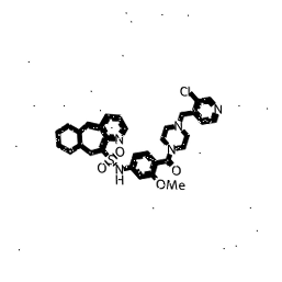 COc1cc(NS(=O)(=O)C2=c3ncccc3=CC3CCCCC3C2)ccc1C(=O)N1CCN(Cc2ccncc2Cl)CC1